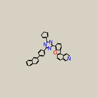 C1=CC(c2nc(-c3ccc(-c4ccc5ccccc5c4)cc3)nc(-c3cccc4c3oc3ccc5cnccc5c34)n2)=CCC1